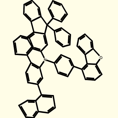 c1ccc(-c2ccc(-c3cccc4ccccc34)cc2N(c2ccc(-c3cccc4oc5ccccc5c34)cc2)c2ccc3c(c2)C(c2ccccc2)(c2ccccc2)c2ccccc2-3)cc1